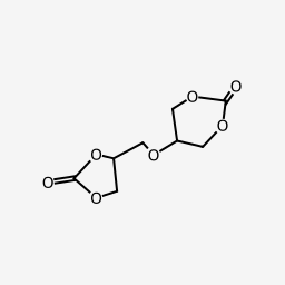 O=C1OCC(OCC2COC(=O)O2)CO1